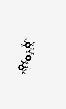 COc1cc(OC)c(NC(=S)Nc2ccc(NC(=O)c3cccc(S(C)(=O)=O)c3N)cc2)cc1Cl